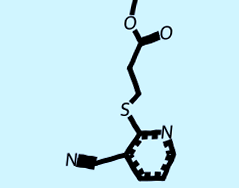 COC(=O)CCSc1ncccc1C#N